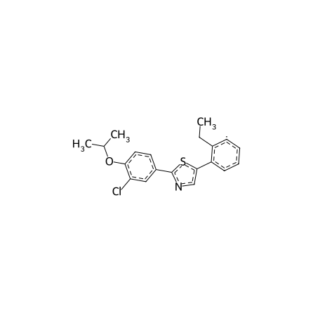 CCc1[c]cccc1-c1cnc(-c2ccc(OC(C)C)c(Cl)c2)s1